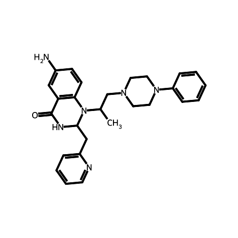 CC(CN1CCN(c2ccccc2)CC1)N1c2ccc(N)cc2C(=O)NC1Cc1ccccn1